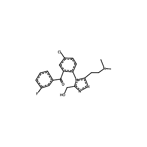 CN(C)CCc1nnc(CO)n1-c1ccc(Cl)cc1C(=O)c1cccc(F)c1